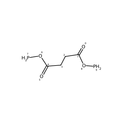 O=C(CCC(=O)OP)OP